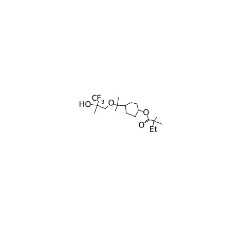 CCC(C)(C)C(=O)OC1CCC(C(C)(C)OCC(C)(O)C(F)(F)F)CC1